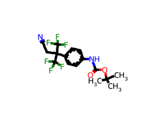 CC(C)(C)OC(=O)Nc1ccc(C(CC#N)(C(F)(F)F)C(F)(F)F)cc1